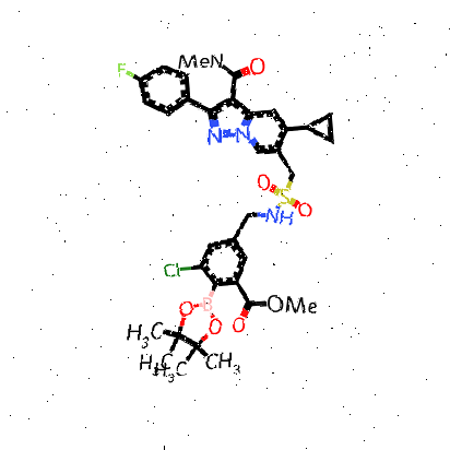 CNC(=O)c1c(-c2ccc(F)cc2)nn2cc(CS(=O)(=O)NCc3cc(Cl)c(B4OC(C)(C)C(C)(C)O4)c(C(=O)OC)c3)c(C3CC3)cc12